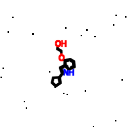 OCCOc1cccc2[nH]c(C3=CCCC3)cc12